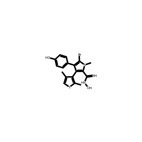 Cc1csc(C)c1-c1c(-c2ccc(O)cc2)c(Br)n(C)c1C(=N)NO